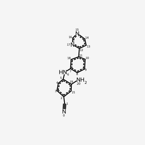 N#Cc1ccc(Nc2cccc(-c3ccncn3)c2)c(N)c1